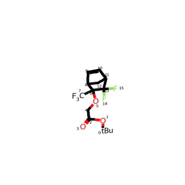 CC(C)(C)OC(=O)COC1(C(F)(F)F)C2C=CC(C2)C1(F)F